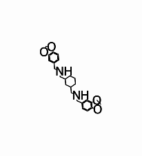 c1cc2c(cc1CNCC1CCCC(CNCc3ccc4c(c3)OCO4)C1)OCO2